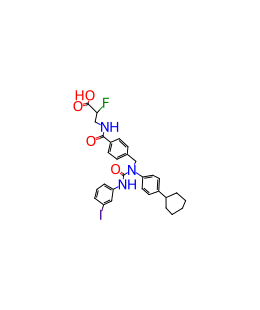 O=C(NCC(F)C(=O)O)c1ccc(CN(C(=O)Nc2cccc(I)c2)c2ccc(C3CCCCC3)cc2)cc1